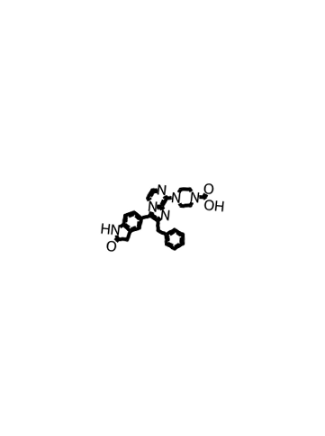 O=C1Cc2cc(-c3c(Cc4ccccc4)nc4c(N5CCN(C(=O)O)CC5)nccn34)ccc2N1